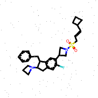 O=S(=O)(CC=CC1CCC1)N1CC(c2cc3c(cc2F)CC(N2CCC2)C3Cc2ccccc2)C1